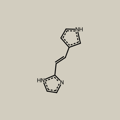 C(=C\c1ncc[nH]1)/c1cc[nH]c1